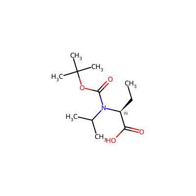 CC[C@@H](C(=O)O)N(C(=O)OC(C)(C)C)C(C)C